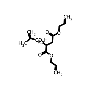 C=C(C)C(=O)O.C=CCOC(=O)CC(O)C(=O)OCC=C